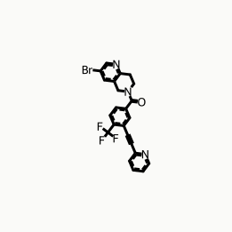 O=C(c1ccc(C(F)(F)F)c(C#Cc2ccccn2)c1)N1CCc2ncc(Br)cc2C1